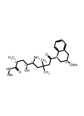 CCCCNC(=O)[C@H](C)C[C@H](O)[C@@H](N)CC(C)(C)CC(=O)N1C[C@H](OC)Cc2ccccc21